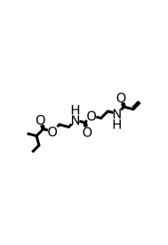 C=CC(=O)NCCOC(=O)NCCOC(=O)C(C)CC